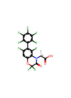 C[C@H](C(=O)O)N1C(=O)C(F)(F)Oc2cc(F)c(-c3c(F)c(F)c(F)c(F)c3F)c(F)c21